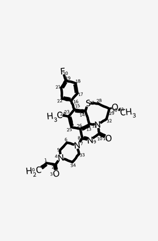 C=CC(=O)N1CCN(c2nc(=O)n3c4c(c(-c5ccc(F)cc5)c(C)cc24)SC[C@@H](OC)C3)CC1